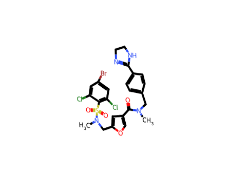 CN(Cc1ccc(C2=NCCN2)cc1)C(=O)c1coc(CN(C)S(=O)(=O)c2c(Cl)cc(Br)cc2Cl)c1